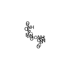 Cc1cnc(N2CC3(CCOCC3)C2)c(C(=O)Nc2ccc(C(=O)N3CCc4cc(C(=O)N[C@H]5CCOC5)sc4-c4ncccc43)cc2)c1